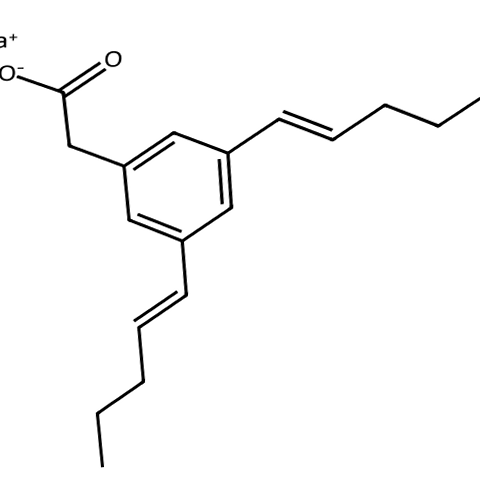 CCCC=Cc1cc(C=CCCC)cc(CC(=O)[O-])c1.[Na+]